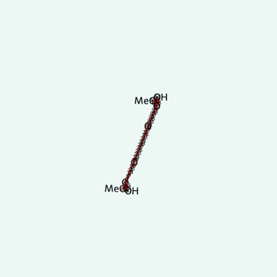 COc1cc(OCCCCCCCCCCCCOCCCCCCCCCCCCCCCCCCCCCCOCCCCCCCCCCCCOc2ccc(CO)c(OC)c2)ccc1CO